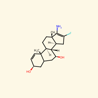 C[C@]12C=C[C@H](O)CC1C[C@H](O)[C@@H]1[C@@H]2CC[C@]2(C)C(N)=C(F)C[C@@H]12